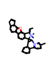 C/C=C1/c2c(ccc3c2oc2c4c(ccc23)CC=C4)C2(C3c4ccccc4-c4ccc(C)c[n+]4C32)[N+]1(C)C